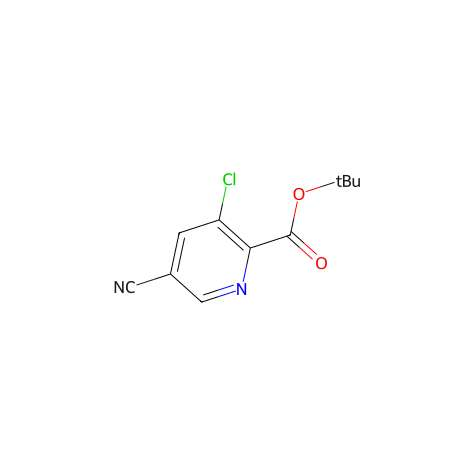 CC(C)(C)OC(=O)c1ncc(C#N)cc1Cl